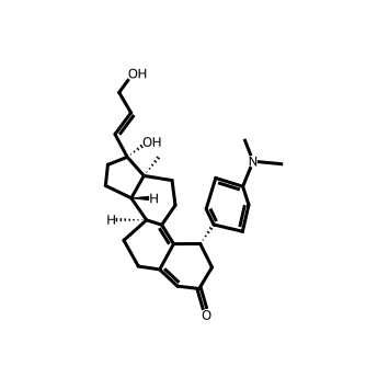 CN(C)c1ccc([C@@H]2CC(=O)C=C3CC[C@@H]4C(=C32)CC[C@@]2(C)[C@H]4CC[C@@]2(O)C=CCO)cc1